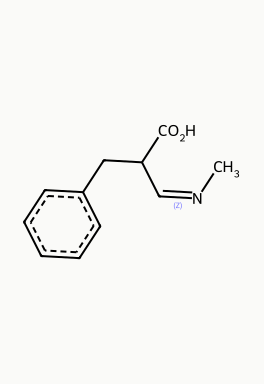 C/N=C\C(Cc1ccccc1)C(=O)O